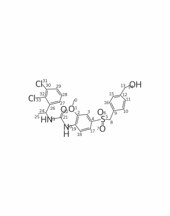 COc1cc(S(=O)(=O)Cc2ccc(CO)cc2)ccc1NC(=O)NC(C)c1cccc(Cl)c1Cl